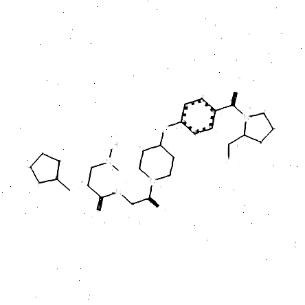 CC(C)(C)[C@H](NC(=O)[C@H](CC1CCCC1)CN(O)C=O)C(=O)N1CCC(Oc2ccc(C(=O)N3CCCC3CO)cc2)CC1